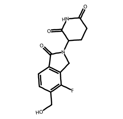 O=C1CCC(N2Cc3c(ccc(CO)c3F)C2=O)C(=O)N1